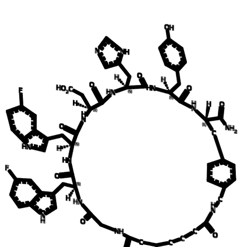 NC(=O)[C@@H]1Cc2ccc(cc2)CNC(=O)CCCCCC(=O)NCC(=O)N[C@@H](Cc2c[nH]c3ccc(F)cc23)C(=O)N[C@@H](Cc2c[nH]c3ccc(F)cc23)C(=O)N[C@@H](CC(=O)O)C(=O)N[C@@H](Cc2cnc[nH]2)C(=O)N[C@@H](Cc2ccc(O)cc2)C(=O)N1